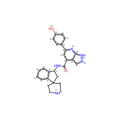 O=C(NC1CC2(CCNCC2)c2ccccc21)c1cc(-c2ccc(O)cc2)nc2[nH]ncc12